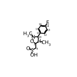 CN1OC(CS(=O)O)N(C)C1c1ccc(F)cc1